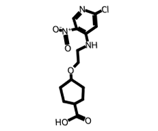 O=C(O)C1CCC(OCCNc2cc(Cl)ncc2[N+](=O)[O-])CC1